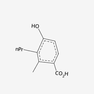 CCCc1c(O)ccc(C(=O)O)c1C